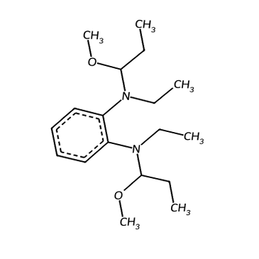 CCC(OC)N(CC)c1ccccc1N(CC)C(CC)OC